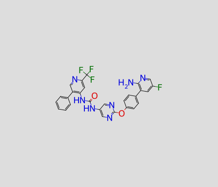 Nc1ncc(F)cc1-c1ccc(Oc2ncc(NC(=O)Nc3cc(C(F)(F)F)ncc3-c3ccccc3)cn2)cc1